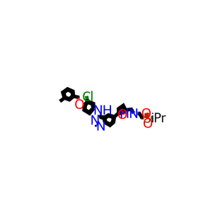 Cc1cccc(COc2ccc(Nc3ncnc4ccc(-c5ccc(CNCCS(=O)(=O)C(C)C)o5)cc34)cc2Cl)c1